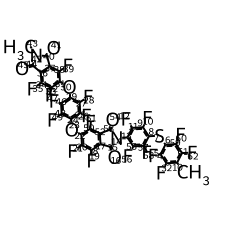 Cc1c(F)c(F)c(Sc2c(F)c(F)c(N3C(=O)c4c(F)c(F)c(Oc5c(F)c(F)c(Oc6c(F)c(F)c7c(c6F)C(=O)N(C)C7=O)c(F)c5F)c(F)c4C3=O)c(F)c2F)c(F)c1F